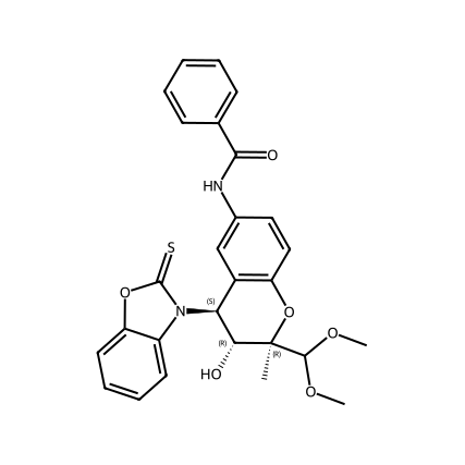 COC(OC)[C@]1(C)Oc2ccc(NC(=O)c3ccccc3)cc2[C@H](n2c(=S)oc3ccccc32)[C@H]1O